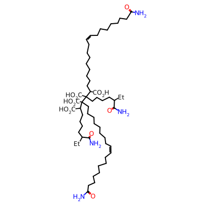 CCC(CCCCC(C(=O)O)C(CCCCCCCC/C=C\CCCCCCCC(N)=O)(C(=O)O)C(CCCCC(CC)C(N)=O)(C(=O)O)C(CCCCCCCC/C=C\CCCCCCCC(N)=O)C(=O)O)C(N)=O